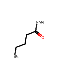 CNC(=O)CCCC(C)(C)C